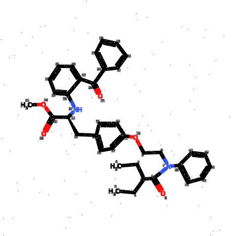 CCC(CC)C(=O)N(CCOc1ccc(C[C@H](Nc2ccccc2C(=O)c2ccccc2)C(=O)OC)cc1)c1ccccc1